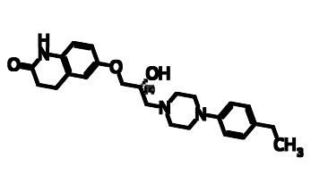 CCc1ccc(N2CCN(C[C@@H](O)COc3ccc4c(c3)CCC(=O)N4)CC2)cc1